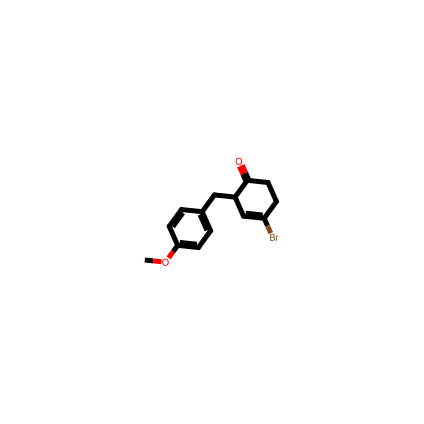 COc1ccc(CC2C=C(Br)CCC2=O)cc1